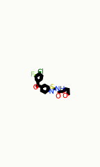 O=C(c1ccc(Cl)c(F)c1)c1ccc2nc(NC(=O)c3ccco3)sc2c1